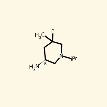 CC(C)N1C[C@H](N)CC(C)(F)C1